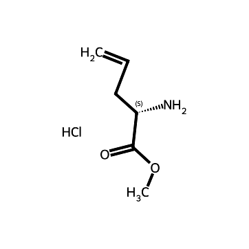 C=CC[C@H](N)C(=O)OC.Cl